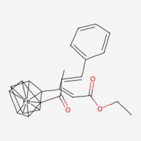 CCOC(=O)C=C(C)[C]12[CH]3[CH]4[CH]5[CH]1[Fe]45321678[CH]2[CH]1[CH]6[C]7(C(=O)C=Cc1ccccc1)[CH]28